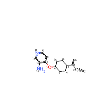 C=C(OC)[C@H]1CC[C@@H](Oc2ccncc2N)CC1